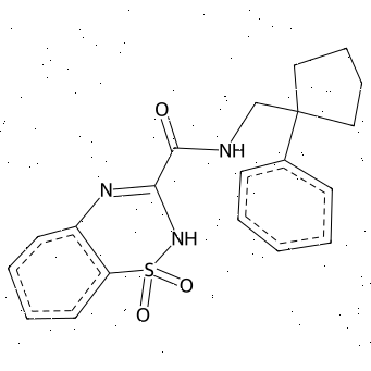 O=C(NCC1(c2ccccc2)CCCC1)C1=Nc2ccccc2S(=O)(=O)N1